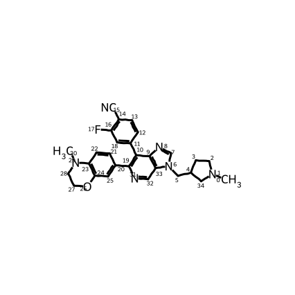 CN1CCC(Cn2cnc3c(-c4ccc(C#N)c(F)c4)c(-c4ccc5c(c4)OCCN5C)ncc32)C1